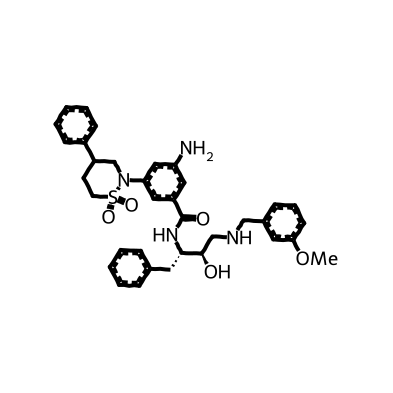 COc1cccc(CNC[C@@H](O)[C@H](Cc2ccccc2)NC(=O)c2cc(N)cc(N3CC(c4ccccc4)CCS3(=O)=O)c2)c1